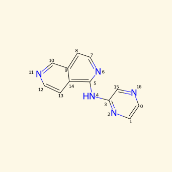 c1cnc(Nc2nccc3cnccc23)cn1